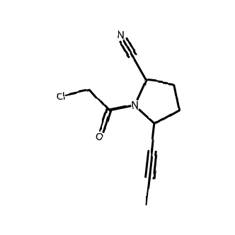 CC#CC1CCC(C#N)N1C(=O)CCl